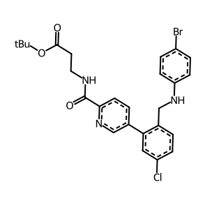 CC(C)(C)OC(=O)CCNC(=O)c1ccc(-c2cc(Cl)ccc2CNc2ccc(Br)cc2)cn1